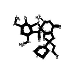 COc1cc(OC)c2c(c1Cl)O[C@]1(C2=O)C2=C(C[C@](CCBr)(c3ccccc3)O2)C(=O)C[C@H]1C